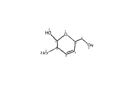 OCC1C=CC(O)C(O)O1